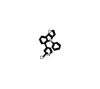 Clc1cc(-c2cccc3c4occc4n(-c4ccccc4)c23)ccn1